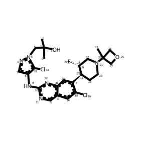 CC(C)(O)Cn1ncc(Nc2ncc3cc(Cl)c([C@@H]4CCN(C5(C)COC5)C[C@H]4F)cc3n2)c1Cl